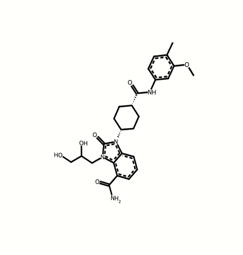 COc1cc(NC(=O)[C@H]2CC[C@@H](n3c(=O)n(CC(O)CO)c4c(C(N)=O)cccc43)CC2)ccc1C